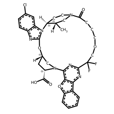 C[C@H]1CN2CC[C@@H]1n1c(nc3ccc(Cl)cc31)O[C@H]1C[C@@H](C(=O)O)N(C1)c1nc(nc3c1oc1ccccc13)C(F)(F)COCCCC2=O